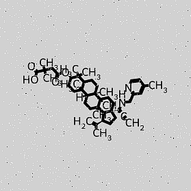 C=C=C(NCc1cc(C)ccn1)[C@]12CC[C@@H](C(=C)C)C1C1(C)CC[C@@H]3C4(C)CC[C@H](OC(=O)CC(C)(C)C(=O)O)C(C)(C)C4CC[C@@]3(C)[C@]1(C)CC2